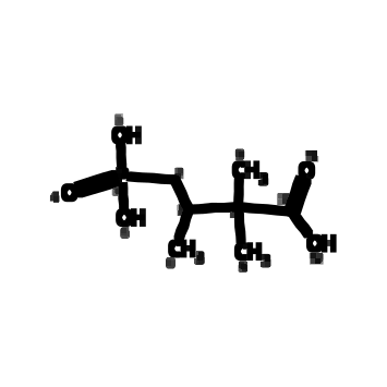 CC(CP(=O)(O)O)C(C)(C)C(=O)O